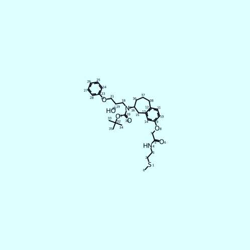 CSCCNC(=O)COc1ccc2c(c1)CC(N(C[C@H](O)COc1ccccc1)C(=O)OC(C)(C)C)CCC2